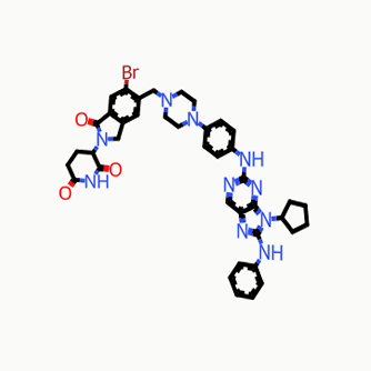 O=C1CCC(N2Cc3cc(CN4CCN(c5ccc(Nc6ncc7nc(Nc8ccccc8)n(C8CCCC8)c7n6)cc5)CC4)c(Br)cc3C2=O)C(=O)N1